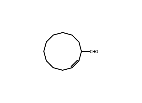 O=CC1C=CCCCCCCCCC1